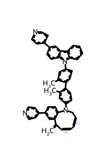 C=C1/C=C\C=C/CN(c2ccc(-c3ccc(-n4c5ccccc5c5cc(-c6ccncc6)ccc54)cc3C)c(C)c2)c2ccc(-c3ccncc3)cc21